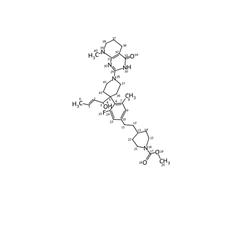 C/C=C/C(O)C1(c2c(C)cc(CCC3CCN(C(=O)OC)CC3)cc2F)CCN(c2nc3c(c(=O)[nH]2)CCCN3C)CC1